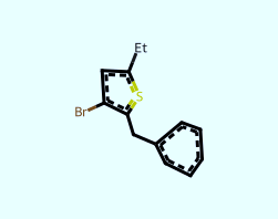 CCc1cc(Br)c(Cc2ccccc2)s1